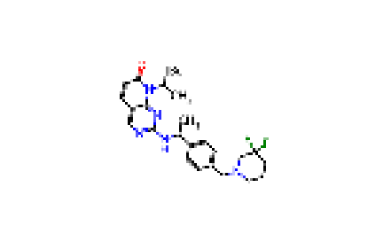 CC(Nc1ncc2ccc(=O)n(C(C)C(C)(C)C)c2n1)c1ccc(CN2CCCC(F)(F)C2)cc1